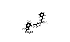 CCOC(=O)c1cc2c(OCC(O)CNC(C)CCc3ccccc3)cc(C)cc2[nH]1